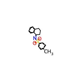 Cc1ccc(S(=O)(=O)N=C2CCCc3ccccc32)cc1